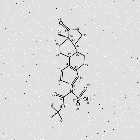 CC(C)(C)OC(=O)N(c1ccc2c(c1)CCC1C2CC[C@]2(C)C(=O)CCC12)S(=O)(=O)O